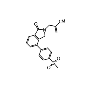 C=C(C#N)CN1Cc2c(cccc2-c2ccc(S(C)(=O)=O)cc2)C1=O